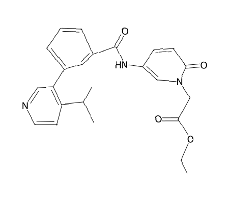 CCOC(=O)Cn1cc(NC(=O)c2cccc(-c3cnccc3C(C)C)c2)ccc1=O